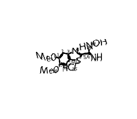 COc1cc2nc(C(=N)NO)sc2cc1OC.Cl